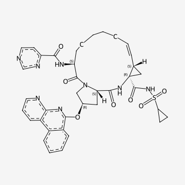 O=C(N[C@H]1CCCCCC=C[C@@H]2C[C@@]2(C(=O)NS(=O)(=O)C2CC2)NC(=O)[C@@H]2C[C@@H](Oc3nc4ncccc4c4ccccc34)CN2C1=O)c1ccncn1